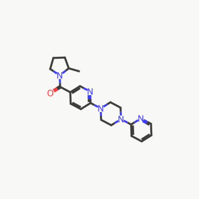 CC1CCCN1C(=O)c1ccc(N2CCN(c3ccccn3)CC2)nc1